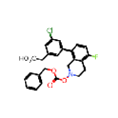 O=C(O)Cc1cc(Cl)cc(-c2ccc(F)c3c2CN(OC(=O)OCc2ccccc2)CC3)c1